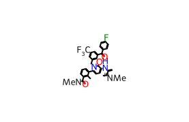 C=C(Nc1ccc(-c2cccc(C(=O)NC)c2C)n(Cc2cc(C(=O)c3ccc(F)cc3)cc(C(F)(F)F)c2)c1=O)[C@H](C)NC